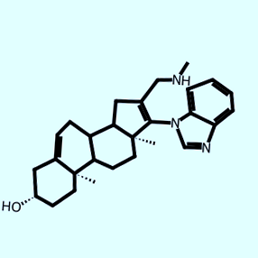 CNCC1=C(n2cnc3ccccc32)[C@@]2(C)CCC3C(CC=C4C[C@@H](O)CC[C@@]43C)C2C1